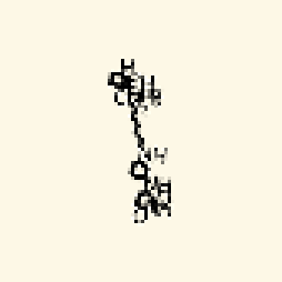 CC1(C)[C@@H]2CC[C@@]1(C)[C@@H](NCCCCCCCNc1cccc(NC3CCC(=O)NC3=O)c1)C2